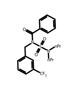 CCCN(CCC)S(=O)(=O)N(Cc1cccc(C(F)(F)F)c1)C(=O)c1ccccc1